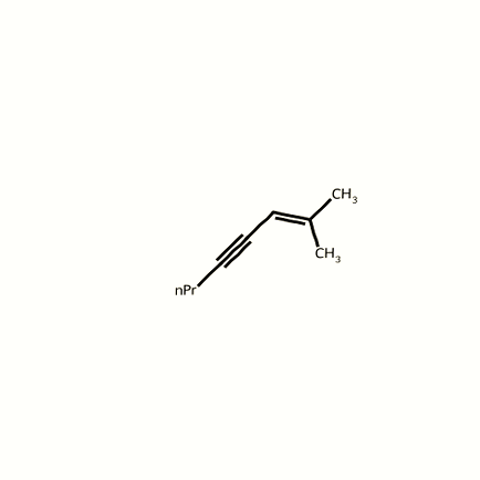 CCCC#CC=C(C)C